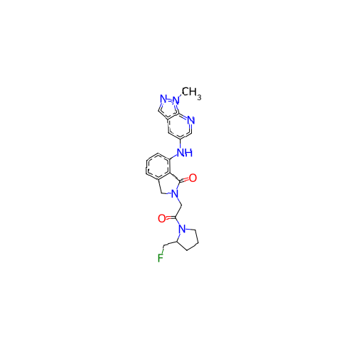 Cn1ncc2cc(Nc3cccc4c3C(=O)N(CC(=O)N3CCCC3CF)C4)cnc21